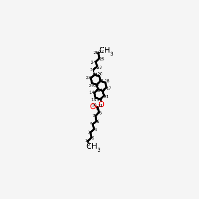 CCCCCCCCCC(=O)O[C@@H]1CCC2C(CCC3C[C@H](CCCCCC)CCC32)C1